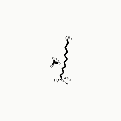 CC(=O)[O-].CCCCCCCCCCC[N+](C)(C)C